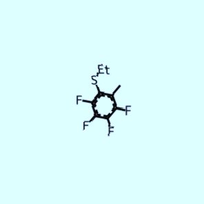 CCSc1c(C)c(F)c(F)c(F)c1F